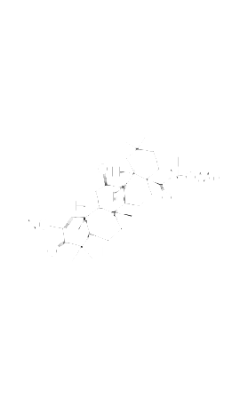 CONC(=O)[C@]12CCC(C)(C)C[C@H]1[C@H]1C(=O)C[C@@H]3[C@@]4(C)C=C(C#N)C(=O)C(C)(C)[C@@H]4CC[C@@]3(C)[C@]1(C)CC2